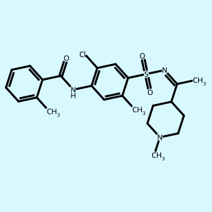 C/C(=N/S(=O)(=O)c1cc(Cl)c(NC(=O)c2ccccc2C)cc1C)C1CCN(C)CC1